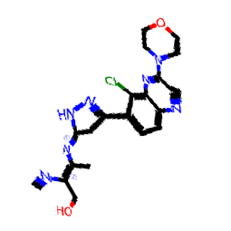 C=N/C(CO)=C(C)\N=C1/CC(c2ccc3ncc(N4CCOCC4)nc3c2Cl)=NN1